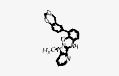 Cn1nc(Nc2cccc(-c3ccc4c(c3)COCO4)c2Cl)c2ncccc21